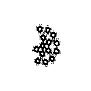 C1=CCCC(N(c2ccccc2)c2ccc3c(c2)c2cc(N(c4ccccc4)c4ccccc4)ccc2c2c(-c4ccc(N(c5ccccc5)c5ccccc5)cc4)c(-c4ccccc4)cc(-c4ccc(N(c5ccccc5)c5ccccc5)cc4)c32)=C1